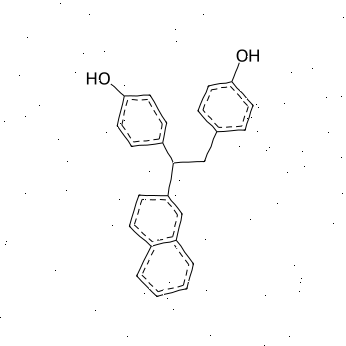 Oc1ccc(CC(c2ccc(O)cc2)c2ccc3ccccc3c2)cc1